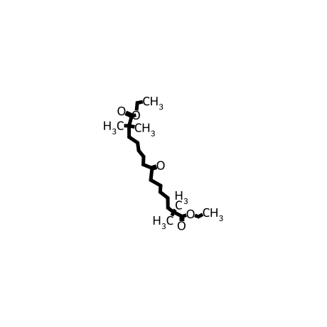 CCOC(=O)C(C)(C)CCCCCC(=O)CCCCCC(C)(C)C(=O)OCC